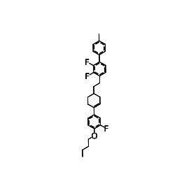 CCCCOc1ccc(C2=CCC(CCc3ccc(-c4ccc(C)cc4)c(F)c3F)CC2)cc1F